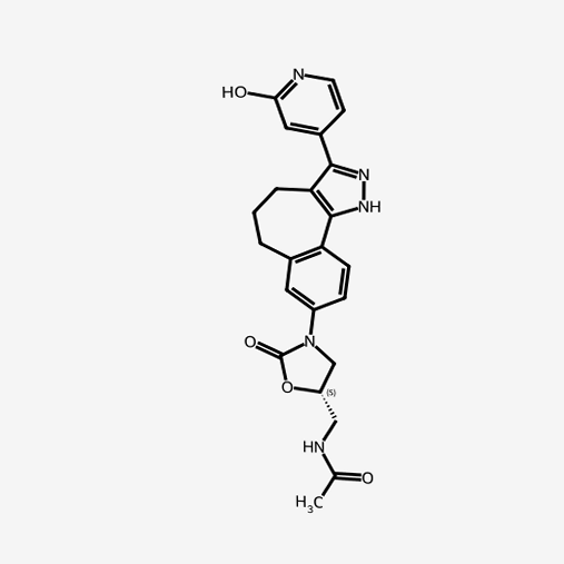 CC(=O)NC[C@H]1CN(c2ccc3c(c2)CCCc2c(-c4ccnc(O)c4)n[nH]c2-3)C(=O)O1